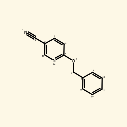 N#Cc1[c]cc(OCc2ccccc2)nc1